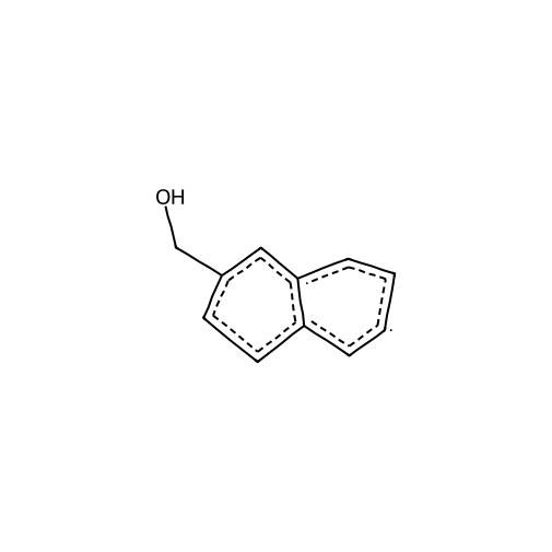 OCc1ccc2c[c]ccc2c1